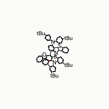 CC(C)(C)c1ccc(N(c2ccc(C(C)(C)C)cc2)c2ccc3c4c2C2Sc5ccccc5C2N4B2c4ccc(C(C)(C)C)cc4N(c4ccc(C(C)(C)C)cc4-c4ccccc4)c4cc5c(oc6ccccc65)c-3c42)cc1